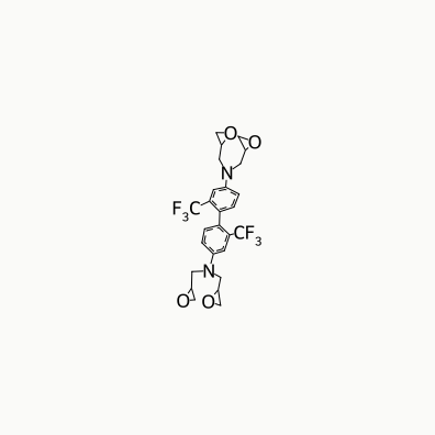 FC(F)(F)c1cc(N(CC2CO2)CC2CO2)ccc1-c1ccc(N(CC2CO2)CC2CO2)cc1C(F)(F)F